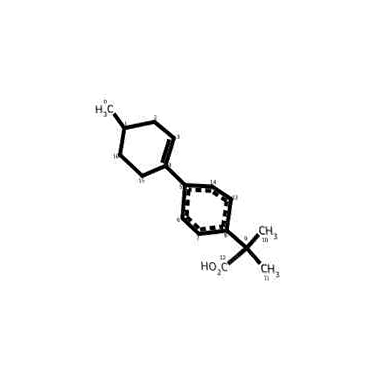 CC1CC=C(c2ccc(C(C)(C)C(=O)O)cc2)CC1